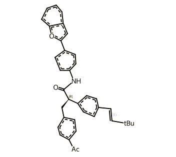 CC(=O)c1ccc(C[C@@H](C(=O)Nc2ccc(-c3cc4ccccc4o3)cc2)c2ccc(/C=C/C(C)(C)C)cc2)cc1